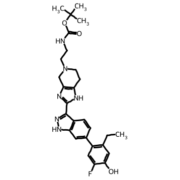 CCc1cc(O)c(F)cc1-c1ccc2c(-c3nc4c([nH]3)CCN(CCNC(=O)OC(C)(C)C)C4)n[nH]c2c1